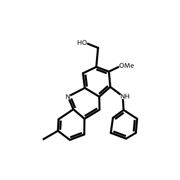 COc1c(CO)cc2nc3cc(C)ccc3cc2c1Nc1ccccc1